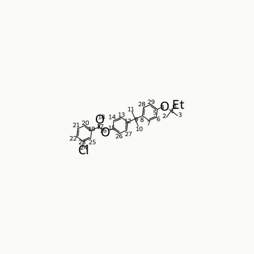 CCC(C)(C)Oc1ccc(C(C)(C)c2ccc(OC(=O)c3cccc(Cl)c3)cc2)cc1